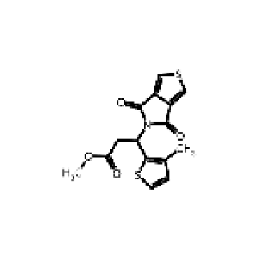 COC(=O)CC(c1sccc1C)N1C(=O)c2cscc2C1=O